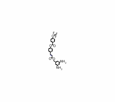 Nc1cc(N)cc(COC(=O)/C=C/c2ccc(OC(=O)c3ccc(OC(F)(F)F)cc3)cc2)c1